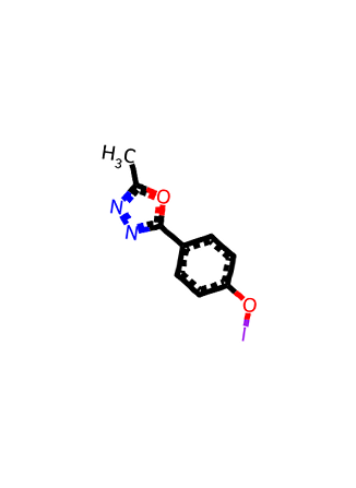 Cc1nnc(-c2ccc(OI)cc2)o1